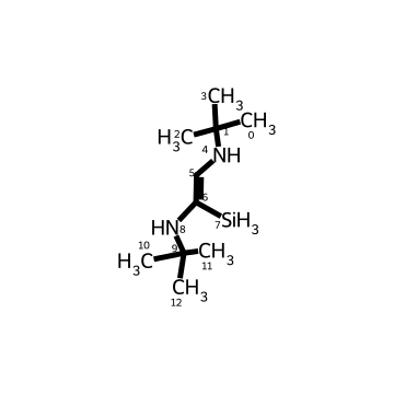 CC(C)(C)NC=C([SiH3])NC(C)(C)C